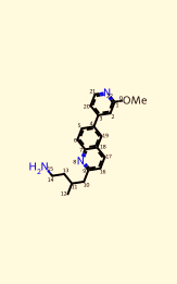 COc1cc(-c2ccc3nc(CC(C)CCN)ccc3c2)ccn1